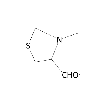 CN1CSCC1[C]=O